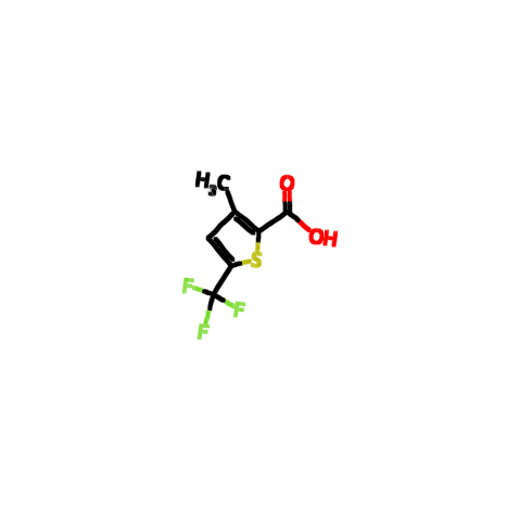 Cc1cc(C(F)(F)F)sc1C(=O)O